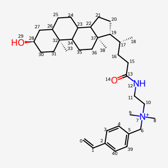 C=Cc1ccc(C[N+](C)(C)CCNC(=O)CC[C@@H](C)[C@H]2CCC3C4CCC5C[C@H](O)CC[C@]5(C)C4CC[C@@]32C)cc1